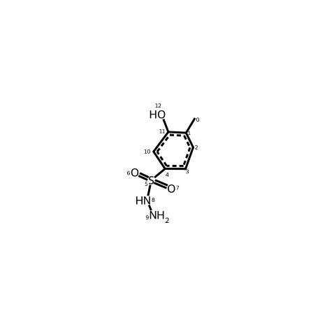 Cc1ccc(S(=O)(=O)NN)cc1O